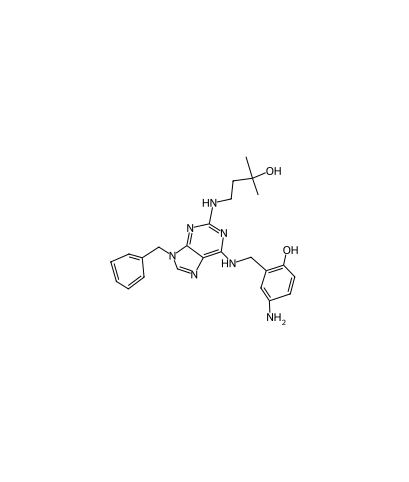 CC(C)(O)CCNc1nc(NCc2cc(N)ccc2O)c2ncn(Cc3ccccc3)c2n1